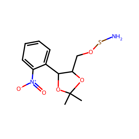 CC1(C)OC(COSN)C(c2ccccc2[N+](=O)[O-])O1